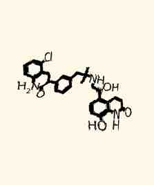 Cc1cccc(Cl)c1CC(C(N)=O)c1cccc(CC(C)(C)NC[C@H](O)c2ccc(O)c3[nH]c(=O)ccc23)c1